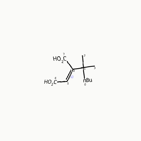 CCCCC(C)(C)/C(=C/C(=O)O)C(=O)O